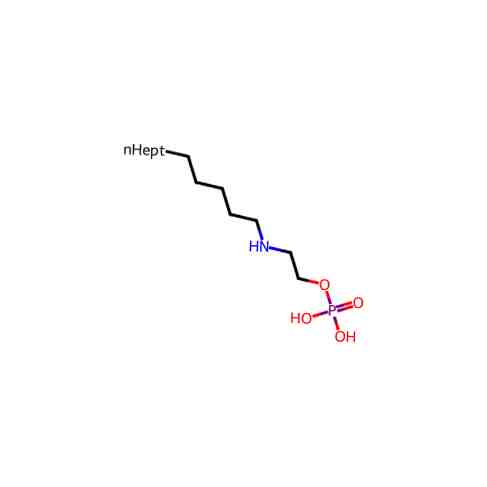 CCCCCCCCCCCCNCCOP(=O)(O)O